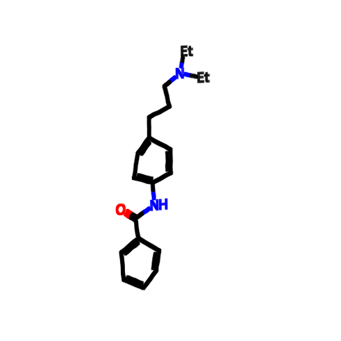 CCN(CC)CCCc1ccc(NC(=O)c2ccccc2)cc1